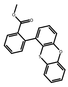 COC(=O)c1ccccc1-c1cccc2c1Sc1ccccc1O2